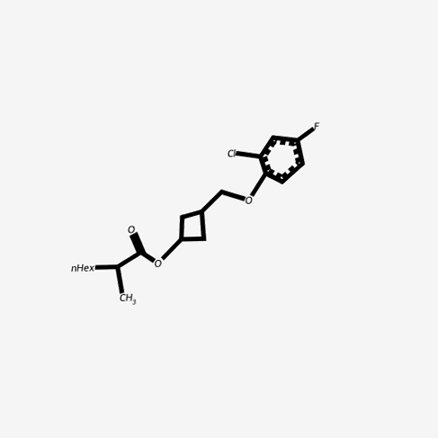 CCCCCCC(C)C(=O)OC1CC(COc2ccc(F)cc2Cl)C1